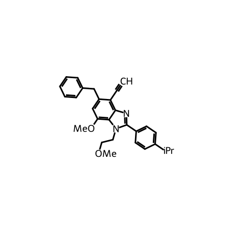 C#Cc1c(Cc2ccccc2)cc(OC)c2c1nc(-c1ccc(C(C)C)cc1)n2CCOC